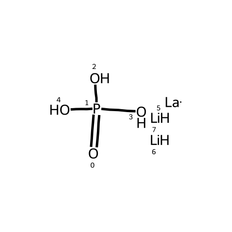 O=P(O)(O)O.[La].[LiH].[LiH]